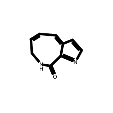 O=C1NCC=CC=C2C=CN=C12